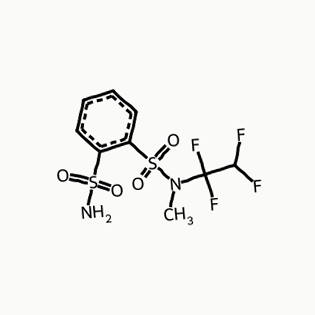 CN(C(F)(F)C(F)F)S(=O)(=O)c1ccccc1S(N)(=O)=O